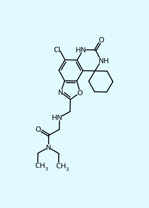 CCN(CC)C(=O)CNCc1nc2cc(Cl)c3c(c2o1)C1(CCCCC1)NC(=O)N3